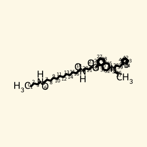 CCCCNC(=O)CCCCCCCCCCC(=O)NCCC(=O)Oc1cccc2c1CC[C@@H](N(CCC)CCc1cccs1)C2